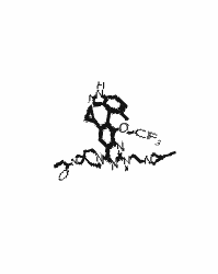 C=CC(=O)N1CC2(CCN(c3nc(N(C)CCN4CC(C)C4)nc4c(OCC(F)(F)F)c(-c5c(C)ccc6[nH]ncc56)c(C5CC5)cc34)CC2)C1